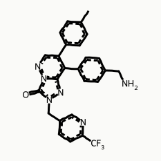 Cc1ccc(-c2cnn3c(=O)n(Cc4ccc(C(F)(F)F)nc4)nc3c2-c2ccc(CN)cc2)cc1